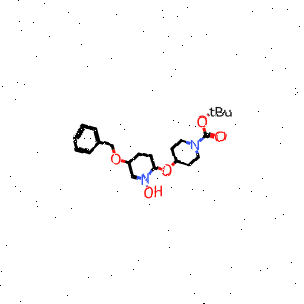 CC(C)(C)OC(=O)N1CCC(OC2CCC(OCc3ccccc3)CN2O)CC1